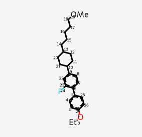 CCOc1ccc(-c2ccc(C3CCC(CCCCCOC)CC3)cc2F)cc1